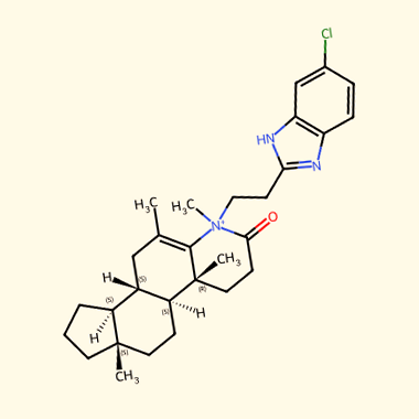 CC1=C2[C@](C)(CCC(=O)[N+]2(C)CCc2nc3ccc(Cl)cc3[nH]2)[C@H]2CC[C@]3(C)CCC[C@H]3[C@@H]2C1